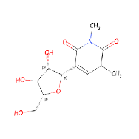 CC1C=C([C@@H]2O[C@H](CO)C(O)[C@@H]2O)C(=O)N(C)C1=O